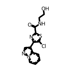 O=C(NCCO)c1nc(-c2cnn3ccccc23)c(Cl)s1